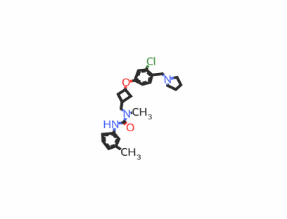 Cc1cccc(NC(=O)N(C)CC2CC(Oc3ccc(CN4CCCC4)c(Cl)c3)C2)c1